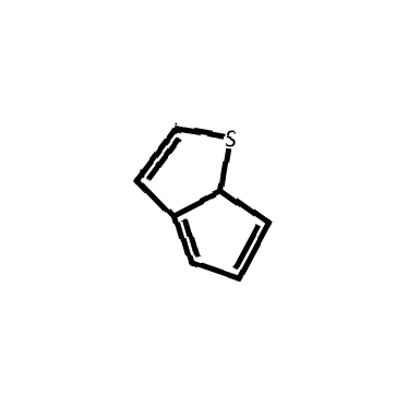 [C]1=CC2=CC=CC2S1